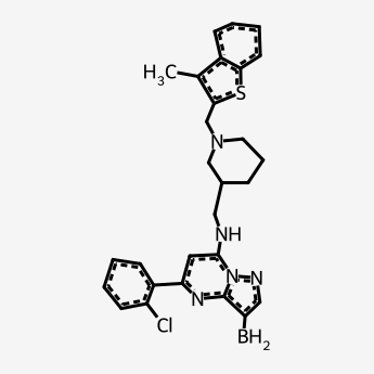 Bc1cnn2c(NCC3CCCN(Cc4sc5ccccc5c4C)C3)cc(-c3ccccc3Cl)nc12